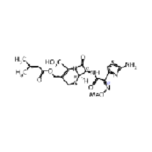 CO/N=C(\C(=O)N[C@@H]1C(=O)N2C(C(=O)O)=C(COC(=O)C=C(C)C)CS[C@H]12)c1csc(N)n1